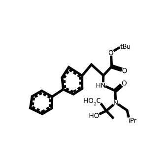 CC(C)CN(C(=O)NC(Cc1ccc(-c2ccccc2)cc1)C(=O)OC(C)(C)C)C(C)(O)C(=O)O